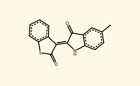 Cc1ccc2c(c1)C(=O)/C(=C1/C(=O)Sc3ccccc31)N2